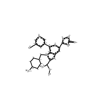 CCOC(C)c1nc2cc(-c3noc(=O)[nH]3)nc(-c3cncc(Cl)c3)c2n1CC1CCC(C)CC1